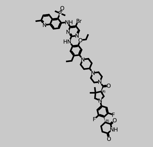 CCOc1cc(N2CCC(N3CCN(C(=O)[C@H]4CN(c5cc(F)c([C@H]6CCC(=O)NC6=O)c(F)c5)CC4(C)C)CC3)CC2)c(CC)cc1Nc1ncc(Br)c(Nc2ccc3nc(C)ccc3c2P(C)(C)=O)n1